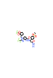 CCS(=O)(=O)c1ccc(C(CC(=O)NC)NC(=O)c2ccc3c(c2)nc(C(F)(F)F)n3Cc2cccc3c2OC(F)(F)O3)cc1